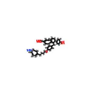 Oc1ccc(-c2ccc3cc(O)ccc3c2Cc2ccc(OCCCCC3=CC=CNC=C3)cc2)cc1